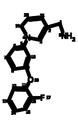 NCC1=CN(c2cccc(Oc3ccccc3F)c2)CC=C1